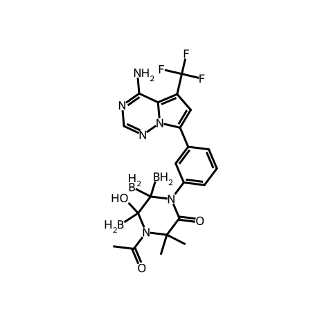 BC1(B)N(c2cccc(-c3cc(C(F)(F)F)c4c(N)ncnn34)c2)C(=O)C(C)(C)N(C(C)=O)C1(B)O